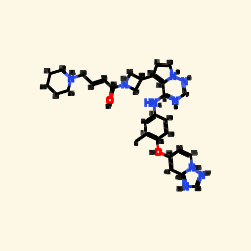 Cc1cc(Nc2ncnn3ccc(C4CN(C(=O)C=CCN5CCCCC5)C4)c23)ccc1Oc1ccn2ncnc2c1